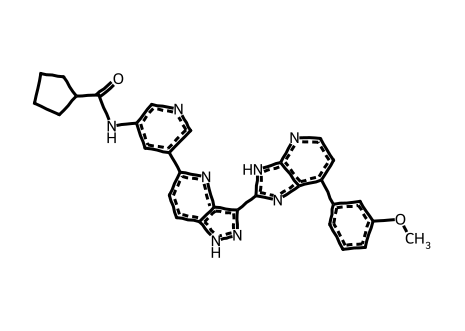 COc1cccc(-c2ccnc3[nH]c(-c4n[nH]c5ccc(-c6cncc(NC(=O)C7CCCC7)c6)nc45)nc23)c1